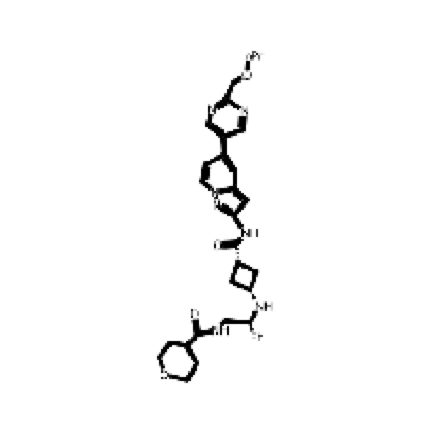 CCCOCc1ncc(-c2ccn3nc(NC(=O)[C@H]4C[C@@H](N[C@@H](CC)CNC(=O)C5CCOCC5)C4)cc3c2)cn1